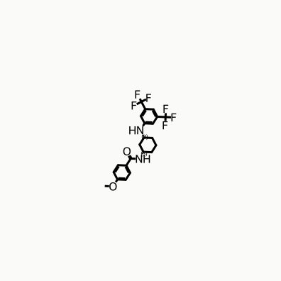 COc1ccc(C(=O)N[C@H]2CCC[C@@H](Nc3cc(C(F)(F)F)cc(C(F)(F)F)c3)C2)cc1